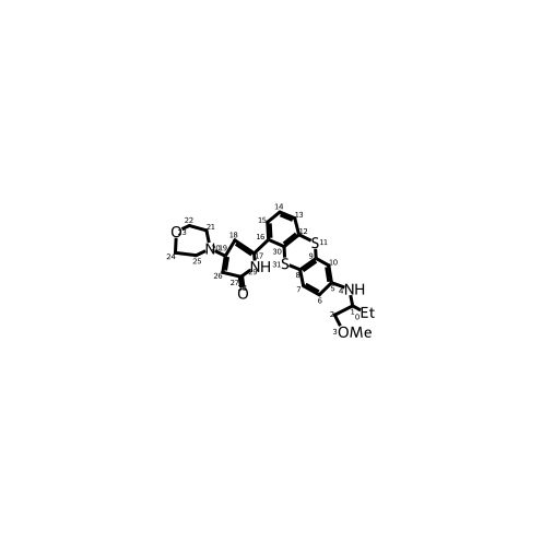 CCC(COC)Nc1ccc2c(c1)Sc1cccc(-c3cc(N4CCOCC4)cc(=O)[nH]3)c1S2